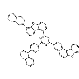 c1ccc2cc(-c3cccc4c3oc3cccc(-c5nc(-c6ccc(-c7cccc8ccccc78)cc6)nc(-c6ccc7c(ccc8oc9ccccc9c87)c6)n5)c34)ccc2c1